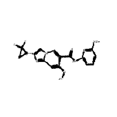 CCOc1cc2nc([C@@H]3CC3(F)F)cn2cc1C(=O)Nc1cccc(OC)n1